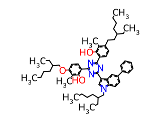 CCCCC(CC)CCc1ccc(-c2nc(-c3ccc(OCC(CC)CCCC)c(C)c3O)nc(-c3cn(CC(CC)CCCC)c4ccc(-c5ccccc5)cc34)n2)c(O)c1C